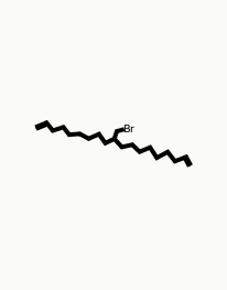 C=CCCCCCCCC(CBr)CCCCCCCC=C